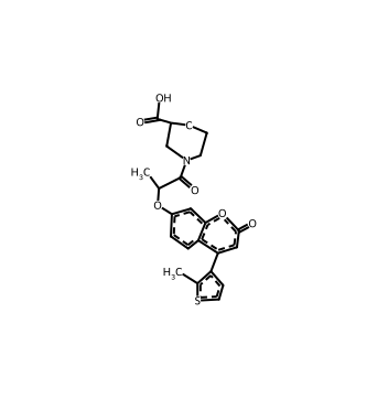 Cc1sccc1-c1cc(=O)oc2cc(OC(C)C(=O)N3CCCC(C(=O)O)C3)ccc12